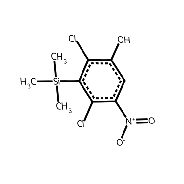 C[Si](C)(C)c1c(Cl)c(O)cc([N+](=O)[O-])c1Cl